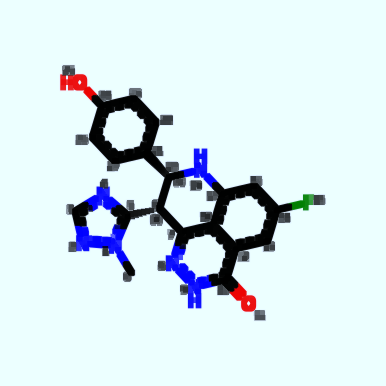 Cn1ncnc1[C@H]1c2n[nH]c(=O)c3cc(F)cc(c23)N[C@@H]1c1ccc(O)cc1